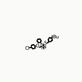 CC(C)(C)c1ccc(CSc2nnc(COc3ccc(Cl)cc3)n2-c2ccccc2)cc1